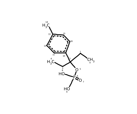 CCC(CC)(OP(=O)(O)O)c1ccc(C)cc1